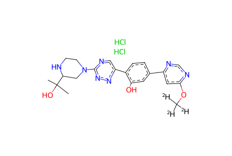 Cl.Cl.[2H]C([2H])([2H])Oc1cc(-c2ccc(-c3cnc(N4CCNC(C(C)(C)O)C4)nn3)c(O)c2)ncn1